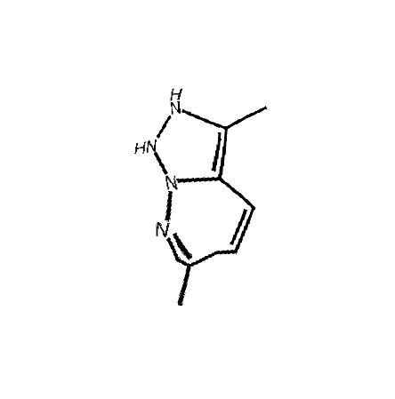 CC1=NN2NNC(C)=C2C=C1